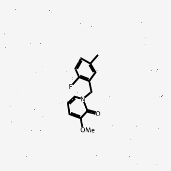 COc1cccn(Cc2cc(C)ccc2F)c1=O